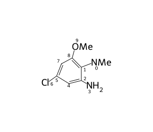 CNc1c(N)cc(Cl)cc1OC